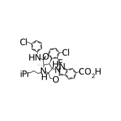 CC(C)CCN1[C@H]2COc3c4ccc(C(=O)O)cc4nn3[C@H]2[C@H](c2cccc(Cl)c2F)[C@]1(C)C(=O)Nc1cccc(Cl)c1